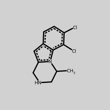 CC1CNCc2cc3ccc(Cl)c(Cl)c3n21